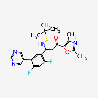 Cc1nc(C)c(C(=O)CC(NSC(C)(C)C)c2cc(-c3cncnc3)c(F)cc2F)o1